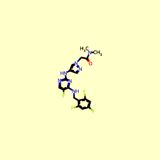 CN(C)C(=O)Cn1cc(Nc2ncc(F)c(NCc3c(F)cc(F)cc3F)n2)cn1